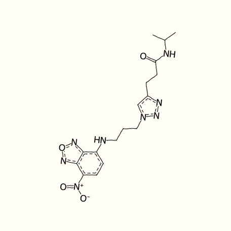 CC(C)NC(=O)CCc1cn(CCCNc2ccc([N+](=O)[O-])c3nonc23)nn1